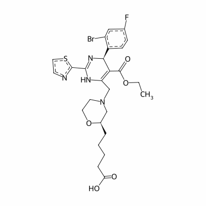 CCOC(=O)C1=C(CN2CCO[C@H](CCCCC(=O)O)C2)NC(c2nccs2)=N[C@H]1c1ccc(F)cc1Br